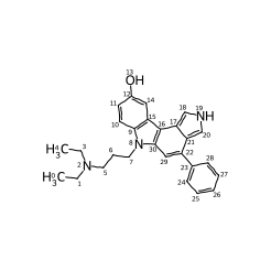 CCN(CC)CCCn1c2ccc(O)cc2c2c3c[nH]cc3c(-c3ccccc3)cc21